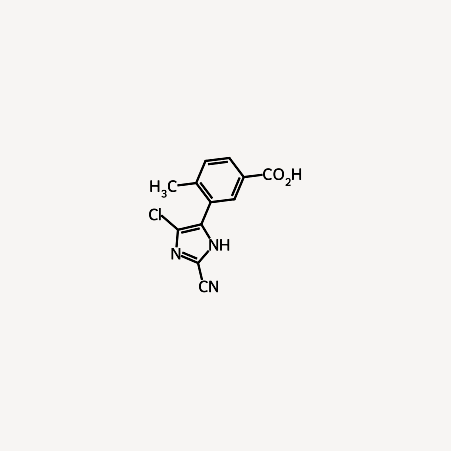 Cc1ccc(C(=O)O)cc1-c1[nH]c(C#N)nc1Cl